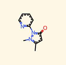 Cc1cc(=O)n(-c2ccccn2)n1C